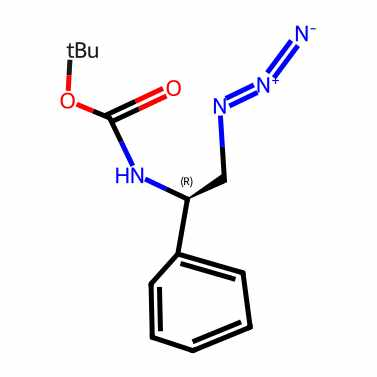 CC(C)(C)OC(=O)N[C@@H](CN=[N+]=[N-])c1ccccc1